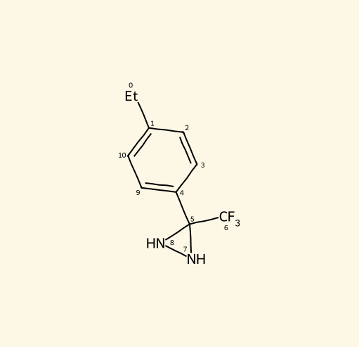 CCc1ccc(C2(C(F)(F)F)NN2)cc1